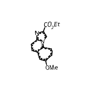 CCOC(=O)c1cn2c(ccc3cc(OC)ccc32)n1